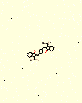 N#CC(C#N)=C1/C(=C/c2ccc(/C=C3\C(=O)c4ccccc4C3=C(C#N)C#N)cc2)C(=O)c2ccccc21